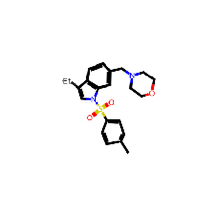 C[CH]c1cn(S(=O)(=O)c2ccc(C)cc2)c2cc(CN3CCOCC3)ccc12